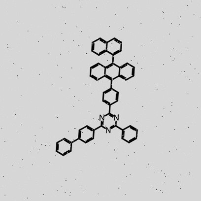 c1ccc(-c2ccc(-c3nc(-c4ccccc4)nc(-c4ccc(-c5c6ccccc6c(-c6cccc7ccccc67)c6ccccc56)cc4)n3)cc2)cc1